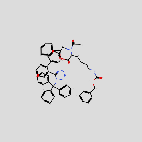 CCCCC(=O)N(Cc1ccc(-c2ccccc2-c2nnnn2C(c2ccccc2)(c2ccccc2)c2ccccc2)cc1)C(CCCCNC(=O)OCc1ccccc1)C(=O)OCc1ccccc1